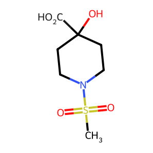 CS(=O)(=O)N1CCC(O)(C(=O)O)CC1